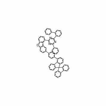 c1ccc(-c2nc(-c3ccccc3-c3ccccc3)nc(-c3cccc4oc5ccc(-c6ccc(-c7cccc8c7-c7ccccc7C87c8ccccc8-c8ccccc87)cc6)cc5c34)n2)cc1